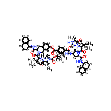 CN[C@@H](C)C(=O)N[C@H](C(=O)N1CC(NC(=O)c2ccc(C(=O)Oc3ccc4c(c3)CN(C(=O)[C@@H](NC(=O)[C@H](C)N(C)C(=O)OC(C)(C)C)C(C)(C)C)[C@H](C(=O)NC3CCCc5ccccc53)C4)cc2)C[C@H]1C(=O)NC1CCCc2ccccc21)C(C)(C)C